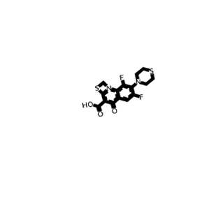 O=C(O)c1c2n(c3c(F)c(N4CCSCC4)c(F)cc3c1=O)CS2